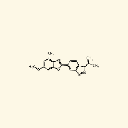 COc1cc(C)c2nc(-c3ccc4c(c3)N=NC4C(C)C)oc2c1